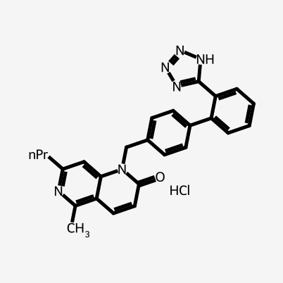 CCCc1cc2c(ccc(=O)n2Cc2ccc(-c3ccccc3-c3nnn[nH]3)cc2)c(C)n1.Cl